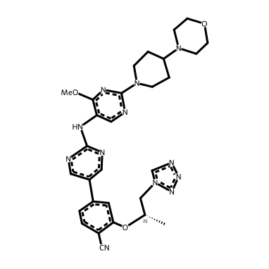 COc1nc(N2CCC(N3CCOCC3)CC2)ncc1Nc1ncc(-c2ccc(C#N)c(O[C@@H](C)Cn3cnnn3)c2)cn1